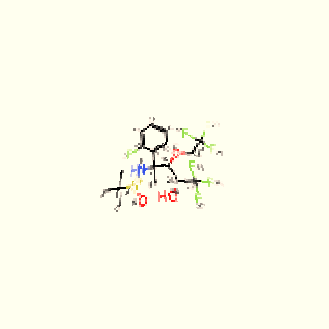 CC(C)(C)[S@@+]([O-])N[C@](C)(c1ccccc1F)[C@@H](OCC(F)(F)F)[C@@H](O)C(F)(F)F